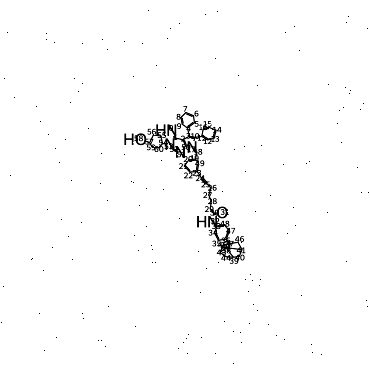 N=c1c2c(-c3ccccc3)c(-c3ccccc3)n(Cc3cccc(C#CCCCCC(=O)Nc4ccc(C56CC7CC(CC(C7)C5)C6)cc4)c3)c2ncn1C1CCC(O)CC1